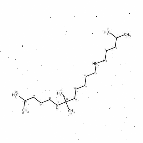 CC(C)CCCNCCCCCC(C)(C)NCCCC(C)C